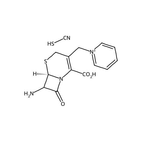 N#CS.NC1C(=O)N2C(C(=O)O)=C(C[n+]3ccccc3)CS[C@H]12